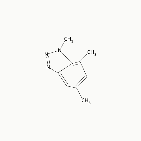 Cc1cc(C)c2c(c1)nnn2C